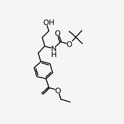 C=C(OCC)c1ccc(CC(CCO)NC(=O)OC(C)(C)C)cc1